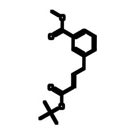 COC(=O)c1cccc(C/C=C/C(=O)OC(C)(C)C)c1